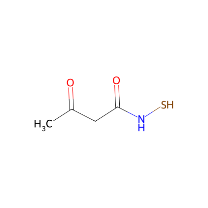 CC(=O)CC(=O)NS